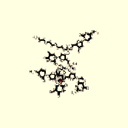 Cc1cn([C@H]2C[C@@H](OP(=S)(OCCOCCOCCN)OCC3O[C@@H](n4ccc(N)nc4=O)C[C@H]3C)C(COP(=O)(S)O[C@@H]3C[C@H](n4cnc5c(=O)[nH]c(N)nc54)OC3COP(=S)(S)O[C@@H]3C[C@H](n4ccc(N)nc4=O)OC3COP(=O)(S)O[C@@H]3C[C@H](n4cc(Br)c(=O)[nH]c4=O)OC3CO)O2)c(=O)[nH]c1=O